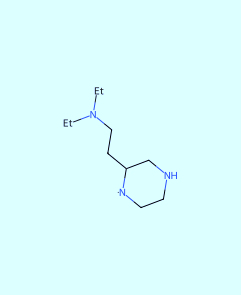 CCN(CC)CCC1CNCC[N]1